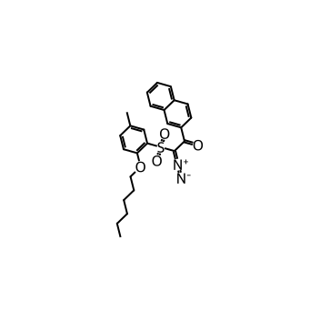 CCCCCCOc1ccc(C)cc1S(=O)(=O)C(=[N+]=[N-])C(=O)c1ccc2ccccc2c1